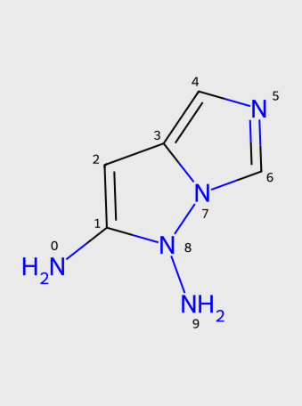 Nc1cc2cncn2n1N